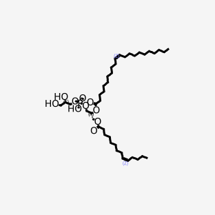 CCCC/C=C\CCCCCCCC(=O)OC[C@H](COP(=O)(O)OC[C@@H](O)CO)OC(=O)CCCCCCCCC/C=C\CCCCCCCCCC